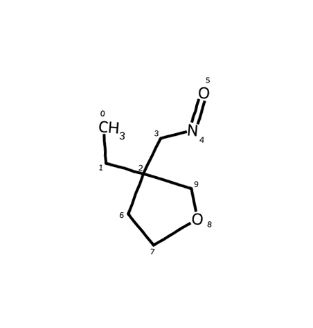 CCC1(CN=O)CCOC1